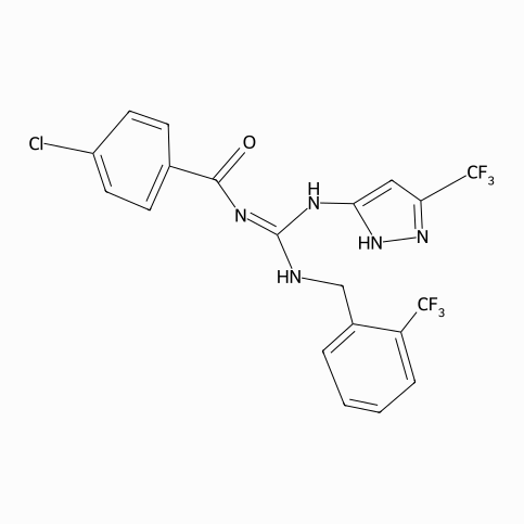 O=C(/N=C(/NCc1ccccc1C(F)(F)F)Nc1cc(C(F)(F)F)n[nH]1)c1ccc(Cl)cc1